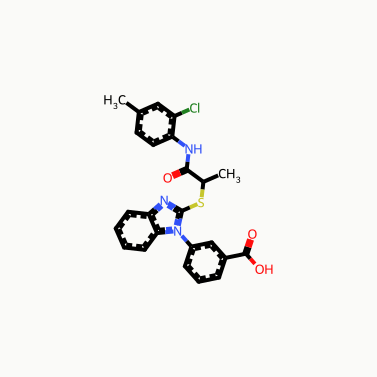 Cc1ccc(NC(=O)C(C)Sc2nc3ccccc3n2-c2cccc(C(=O)O)c2)c(Cl)c1